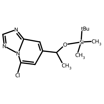 CC(O[Si](C)(C)C(C)(C)C)c1cc(Cl)n2ncnc2c1